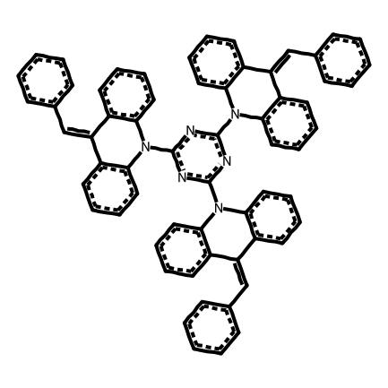 C(=C1c2ccccc2N(c2nc(N3c4ccccc4C(=Cc4ccccc4)c4ccccc43)nc(N3c4ccccc4C(=Cc4ccccc4)c4ccccc43)n2)c2ccccc21)c1ccccc1